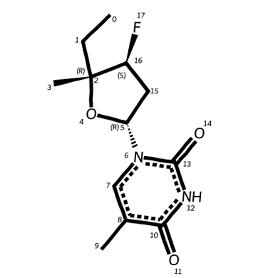 CC[C@@]1(C)O[C@@H](n2cc(C)c(=O)[nH]c2=O)C[C@@H]1F